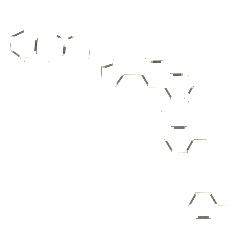 CC(OC(Cc1ccccn1)=S(=O)=O)c1nc(-c2cc3c(Nc4ccc(OCc5cccc(F)c5)c(Cl)c4)ncnc3cn2)cs1